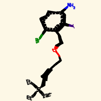 CC[Si](C#CCOCc1c(Br)ccc(N)c1I)(CC)CC